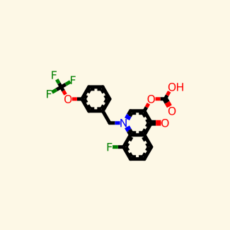 O=C(O)Oc1cn(Cc2cccc(OC(F)(F)F)c2)c2c(F)cccc2c1=O